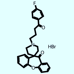 Br.O=C(CCCN1CCC2(CC1)C(=O)c1ccccc1Oc1ccccc12)c1ccc(F)cc1